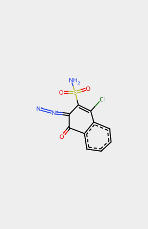 [N-]=[N+]=C1C(=O)c2ccccc2C(Cl)=C1S(N)(=O)=O